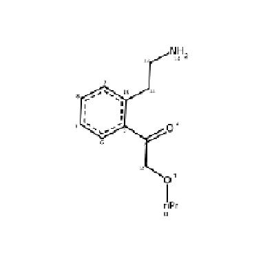 CCCOCC(=O)c1ccccc1CCN